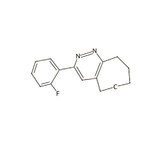 Fc1ccccc1-c1cc2c(nn1)CCCCC2